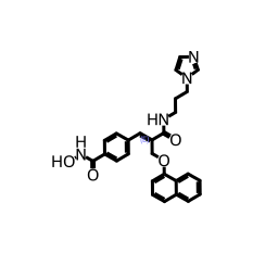 O=C(NCCCn1ccnc1)/C(=C/c1ccc(C(=O)NO)cc1)COc1cccc2ccccc12